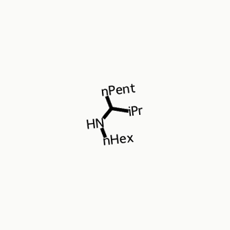 CCCCCCNC(CCCCC)C(C)C